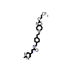 Cc1ncc(/C=C/C(=O)/N=C/C2CCC(CCN3CCc4nc(OCCC(F)(F)F)sc4CC3)CC2)cn1